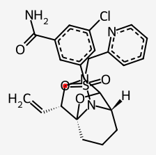 C=C[C@@H]1CN(Cc2ccccn2)C2O[C@]13CCC[C@@H]2N3S(=O)(=O)c1cc(Cl)cc(C(N)=O)c1